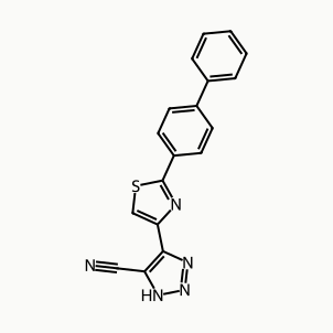 N#Cc1[nH]nnc1-c1csc(-c2ccc(-c3ccccc3)cc2)n1